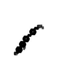 CCC[C@H]1CC[C@H](CC[C@H]2CC[C@H](c3ccc(-c4ccc(Cl)cc4)c(F)c3)CC2)CC1